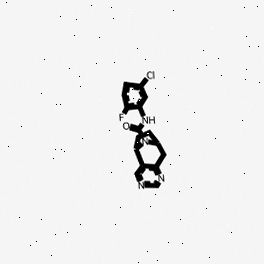 O=C(Nc1cc(Cl)ccc1F)N1C2CCC1c1cncnc1C2